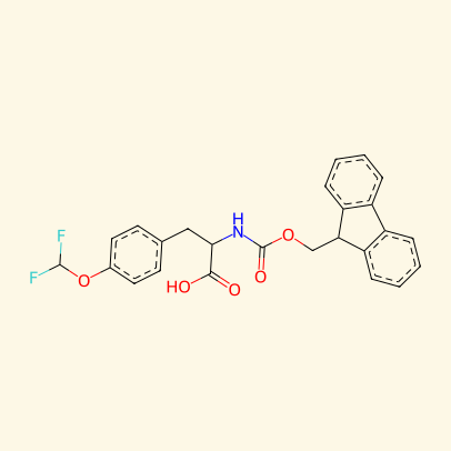 O=C(NC(Cc1ccc(OC(F)F)cc1)C(=O)O)OCC1c2ccccc2-c2ccccc21